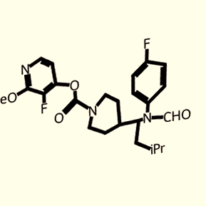 COc1nccc(OC(=O)N2CCC(C(CC(C)C)N(C=O)c3ccc(F)cc3)CC2)c1F